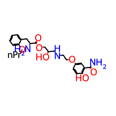 CCCOc1ccccc1C[C@H](N)C(=O)OCC(O)CNCCOc1ccc(O)c(C(N)=O)c1